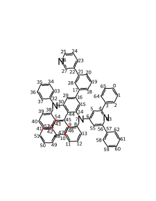 c1ccc(-c2cc(N(c3ccccc3)c3cc(-c4cccc(-c5cccnc5)c4)cc(N(c4ccccc4)c4ccccc4)c3-c3ccc4ccccc4c3)cc(-c3ccccc3)n2)cc1